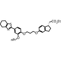 CCCOc1cc(-c2nc3c(s2)CCCC3)ccc1OCCCOc1ccc2c(c1)CC[C@H]2CC(=O)OCC